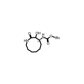 CC(C)(C)OC(=O)N[C@H]1CCCCCCNC(=O)C1O